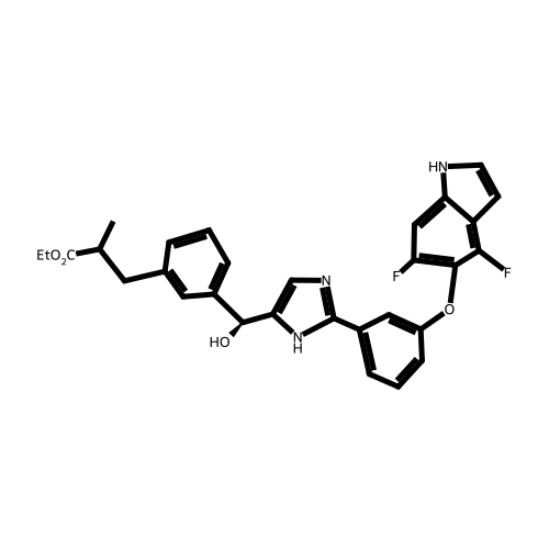 CCOC(=O)C(C)Cc1cccc([C@H](O)c2cnc(-c3cccc(Oc4c(F)cc5[nH]ccc5c4F)c3)[nH]2)c1